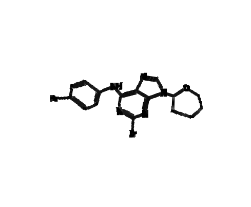 Brc1ccc(Nc2nc(Br)nc3c2ncn3C2CCCCO2)cc1